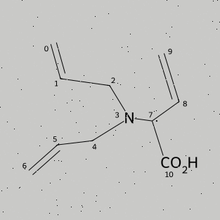 C=CCN(CC=C)[C](C=C)C(=O)O